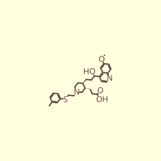 COc1ccc2nccc([C@H](O)CC[C@@H]3CCN(CCSc4cccc(C)c4)C[C@H]3CCC(=O)O)c2c1